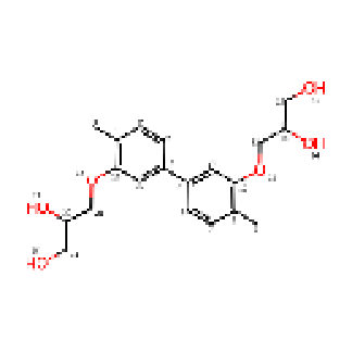 Cc1ccc(-c2ccc(C)c(OCC(O)CO)c2)cc1OCC(O)CO